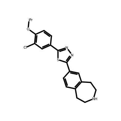 CC(C)Oc1ccc(-c2nnc(-c3ccc4c(c3)CCNCC4)s2)cc1Cl